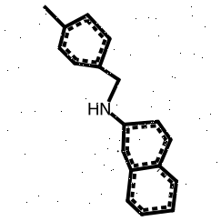 Cc1ccc(CNc2[c]c3ccccc3cc2)cc1